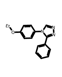 CCOc1ccc(-n2[c]nnc2-c2ccccc2)cc1